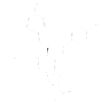 CCCN(C(=O)O)C1=N[C@@H]2[C@@H](OCc3ccc(OC)cc3)[C@H](OCc3ccc(OC)cc3)[C@@H](CO[Si](C)(C)C(C)(C)C)O[C@@H]2S1